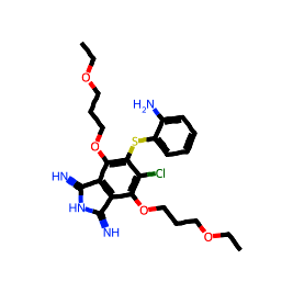 CCOCCCOc1c(Cl)c(Sc2ccccc2N)c(OCCCOCC)c2c1C(=N)NC2=N